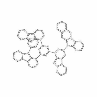 c1ccc(-n2c3ccccc3c3cccc(-c4nc(-c5cc(-n6c7ccccc7c7cc8ccccc8cc76)cc6c5oc5ccccc56)nc(-c5cccc6c5sc5ccccc56)n4)c32)cc1